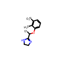 CCC(Oc1cccc([N+](=O)[O-])c1C)C1=NCCN1